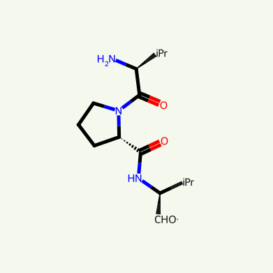 CC(C)[C@H](N)C(=O)N1CCC[C@H]1C(=O)N[C@H]([C]=O)C(C)C